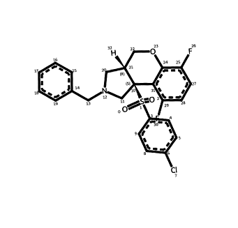 O=S(=O)(c1ccc(Cl)cc1)[C@@]12CN(Cc3ccccc3)C[C@@H]1COc1c(F)ccc(F)c12